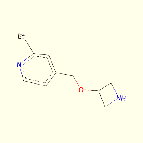 CCc1cc(COC2CNC2)ccn1